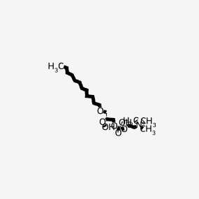 CCCCCCCCCCCCOC[C@H](CO[P@@](=O)(O)OCC[N+](C)(C)C)OO